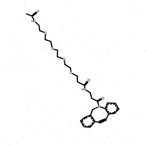 CC(=O)NCCOCCOCCOCCOCCC(=O)NCCC(=O)N1Cc2ccccc2C#Cc2ccccc21